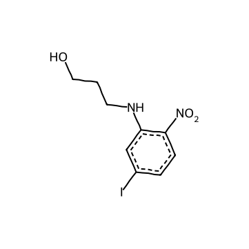 O=[N+]([O-])c1ccc(I)cc1NCCCO